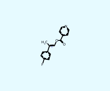 C/C(=C\OC(=O)c1ccncc1)c1ccc(F)cc1